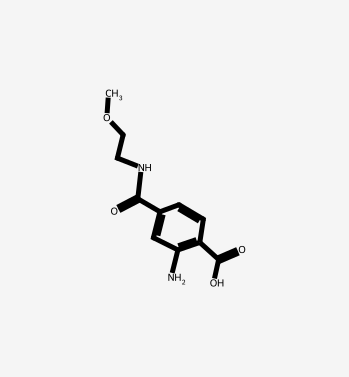 COCCNC(=O)c1ccc(C(=O)O)c(N)c1